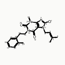 CC(C)=CCn1c(Cl)nc2c1c(=O)n(CCc1ccccc1C)c(=O)n2C